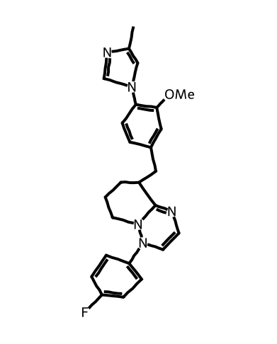 COc1cc(CC2CCCN3C2=NC=CN3c2ccc(F)cc2)ccc1-n1cnc(C)c1